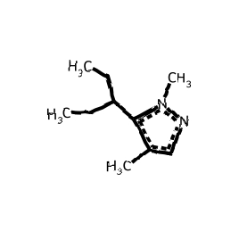 CCC(CC)c1c(C)cnn1C